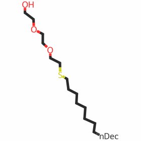 CCCCCCCCCCCCCCCCCCSCCOCCOCCO